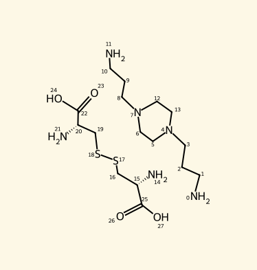 NCCCN1CCN(CCCN)CC1.N[C@@H](CSSC[C@H](N)C(=O)O)C(=O)O